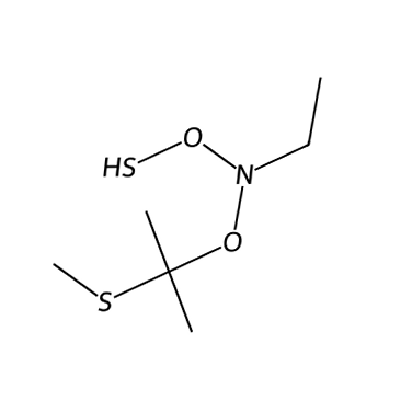 CCN(OS)OC(C)(C)SC